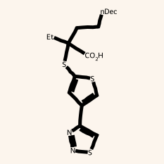 CCCCCCCCCCCCC(CC)(Sc1cc(-c2csnn2)cs1)C(=O)O